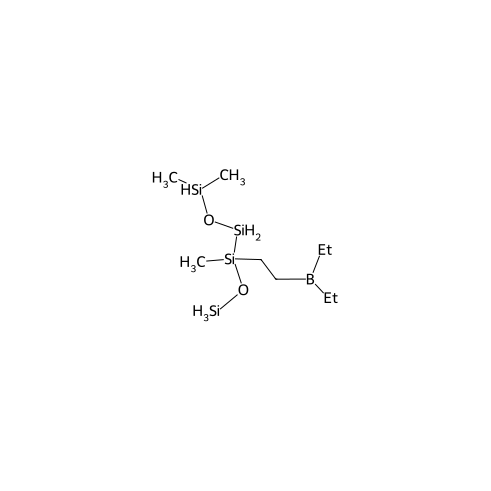 CCB(CC)CC[Si](C)(O[SiH3])[SiH2]O[SiH](C)C